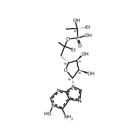 CCC(C)(C[C@H]1O[C@@H](n2cnc3c(N)[n+](O)cnc32)[C@H](O)[C@@H]1O)OP(=O)(O)[C@@](C)(O)CC